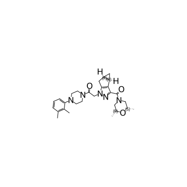 Cc1cccc(N2CCN(C(=O)Cn3nc(C(=O)N4C[C@@H](C)O[C@@H](C)C4)c4c3C[C@H]3C[C@@H]43)CC2)c1C